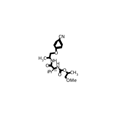 COCC(C)OC(=O)N[C@H](C(=O)NC(C)COc1ccc(C#N)cc1)C(C)C